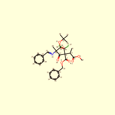 COC(=O)C(C)C(C(=O)OCc1ccccc1)(C(=O)C(C)(/N=C/c1ccccc1)C(=O)OC(C)(C)C)C(F)F